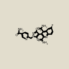 Cc1nn(Cc2ccc(C(N)=O)cn2)c(C)c1-c1c(C(N)=O)nc2ccc(F)cc2c1C(N)=O